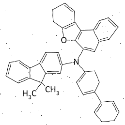 CC1(C)c2ccccc2-c2ccc(N(C3=CC=C(C4=CCCC=C4)CC3)c3cc4ccccc4c4c5c(oc34)CCC=C5)cc21